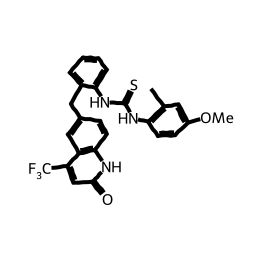 COc1ccc(NC(=S)Nc2ccccc2Cc2ccc3[nH]c(=O)cc(C(F)(F)F)c3c2)c(C)c1